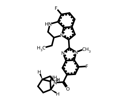 CCC1CNc2c(F)ccc3cc(-c4nc5cc(C(=O)N6C[C@H]7CC[C@@H]6[C@@H]7N)cc(F)c5n4C)n1c23